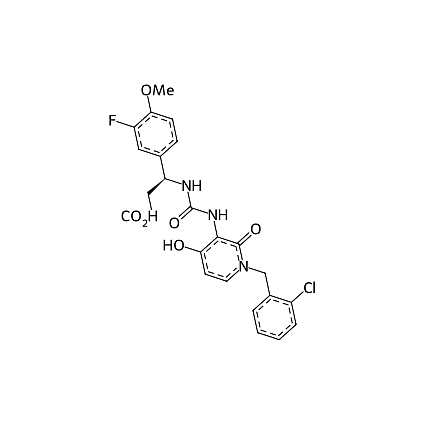 COc1ccc([C@H](CC(=O)O)NC(=O)Nc2c(O)ccn(Cc3ccccc3Cl)c2=O)cc1F